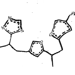 CC(C)c1coc(CC(C)c2cc(CC(C)c3nncs3)co2)c1